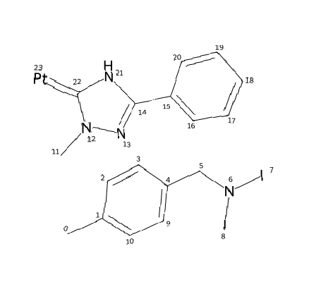 Cc1ccc(CN(I)I)cc1.Cn1nc(-c2ccccc2)[nH][c]1=[Pt]